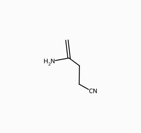 C=C(N)CCC#N